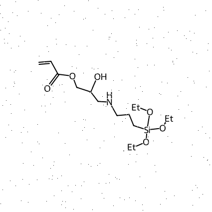 C=CC(=O)OCC(O)CNCCC[Si](OCC)(OCC)OCC